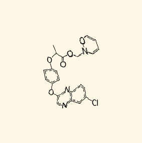 CC(Oc1ccc(Oc2cnc3cc(Cl)ccc3n2)cc1)C(=O)OCN1C=CC=CO1